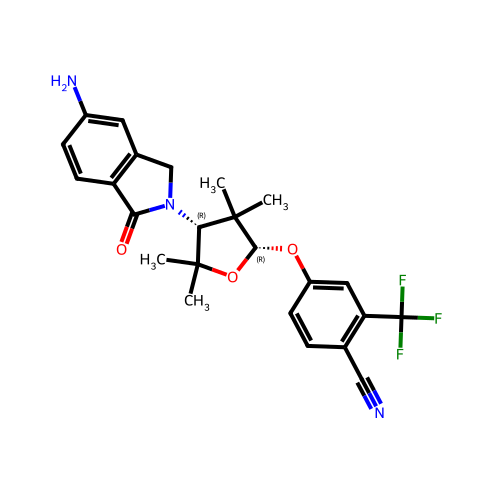 CC1(C)O[C@@H](Oc2ccc(C#N)c(C(F)(F)F)c2)C(C)(C)[C@H]1N1Cc2cc(N)ccc2C1=O